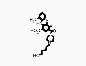 Cc1cc(I)ccc1Nc1c(C(=O)O)cc(C(=O)N2CCN(CCCCCO)CC2)c(F)c1F